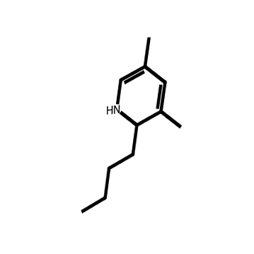 CCCCC1NC=C(C)C=C1C